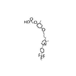 Cc1cc(OCCCCc2ccc(-c3ccc(C(F)(F)F)cc3)nc2C)ccc1OCC(=O)O